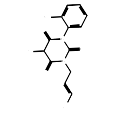 CC=CCN1C(=O)C(C(C)=O)C(=O)N(c2ccccc2C#N)C1=O